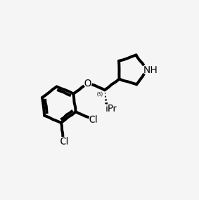 CC(C)[C@H](Oc1cccc(Cl)c1Cl)C1CCNC1